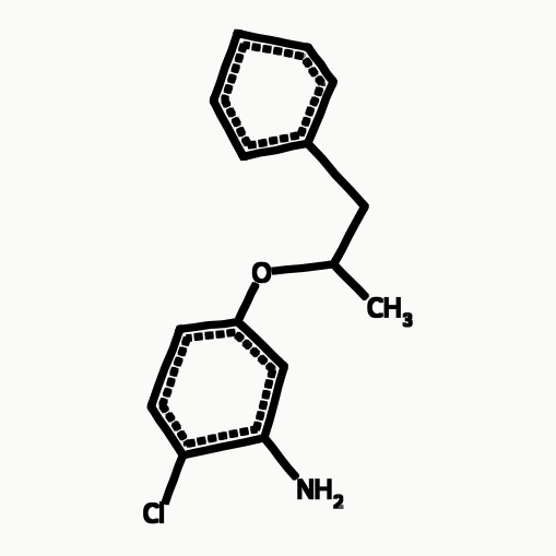 CC(Cc1ccccc1)Oc1ccc(Cl)c(N)c1